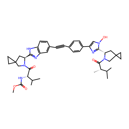 COC(=O)N[C@H](C(=O)N1CC2(CC2)C[C@H]1c1nc2cc(C#Cc3ccc(-c4cn(O)c([C@@H]5CC6(CC6)CN5C(=O)[C@@H](C)C(C)C)n4)cc3)ccc2[nH]1)C(C)C